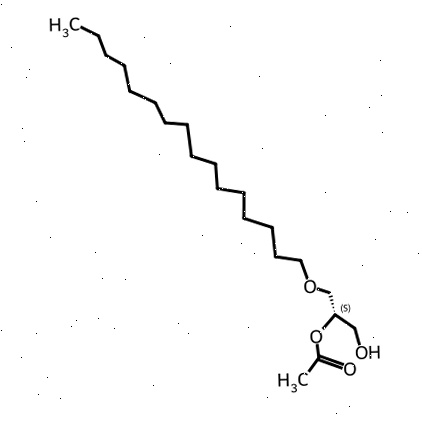 CCCCCCCCCCCCCCCCOC[C@H](CO)OC(C)=O